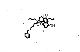 C=CCN1CC[C@]23c4c5c(O)cc(OC)c4O[C@H]2[C@H](N(CCCC)C(=O)CCCCCc2ccccc2)CC[C@H]3[C@H]1C5